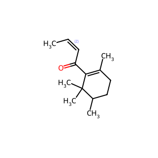 C/C=C\C(=O)C1=C(C)CCC(C)C1(C)C